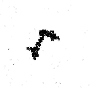 CCN(C)S(=O)(=O)Nc1ccc(F)c(Oc2ccc3ncnc(OC4CC5(C4)CN(C4CCC(c6cc7c(cc6F)c(N6CCC(=O)NC6=O)nn7C)CC4)C5)c3c2)c1C#N